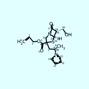 C=CCOC(=O)C1(C[C@@H](C)n2cccc2)CN2C(=O)[C@H](CO)[C@H]2S1